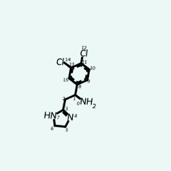 NC(CC1=NCCN1)c1ccc(Cl)c(Cl)c1